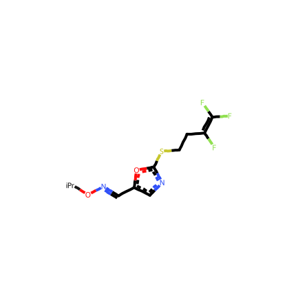 CC(C)ON=Cc1cnc(SCCC(F)=C(F)F)o1